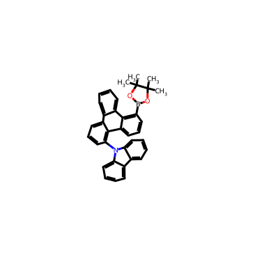 CC1(C)OB(c2cccc3c2c2ccccc2c2cccc(-n4c5ccccc5c5ccccc54)c23)OC1(C)C